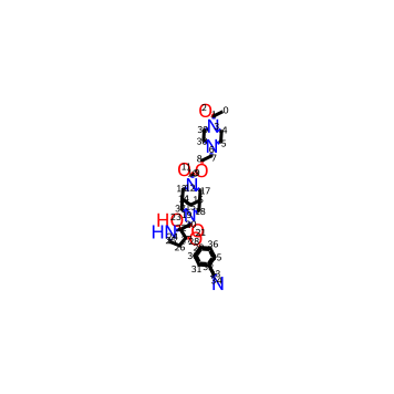 CC(=O)N1CCN(CCOC(=O)N2CC3CC(C2)CN(C(=O)[C@@]2(O)NCCC2Oc2ccc(C#N)cc2)C3)CC1